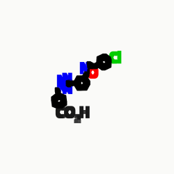 O=C(O)c1ccc(Cn2nnc(-c3cccc(-c4ncc(-c5ccc(Cl)cc5)o4)c3)n2)cc1